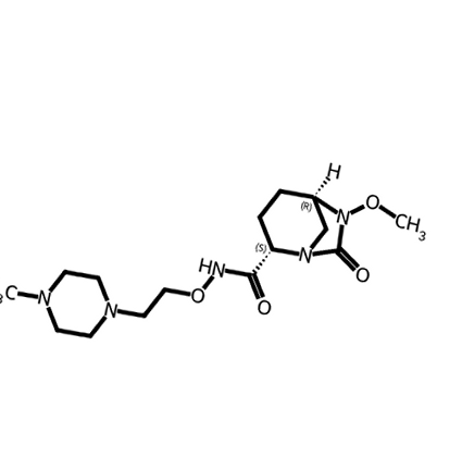 CON1C(=O)N2C[C@H]1CC[C@H]2C(=O)NOCCN1CCN(C)CC1